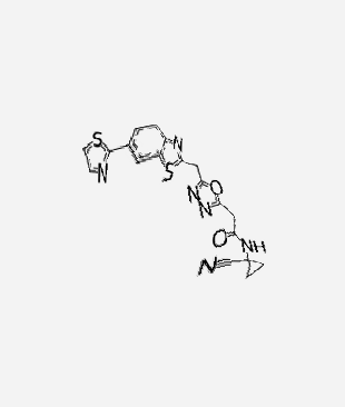 N#CC1(NC(=O)Cc2nnc(Cc3nc4ccc(-c5nccs5)cc4s3)o2)CC1